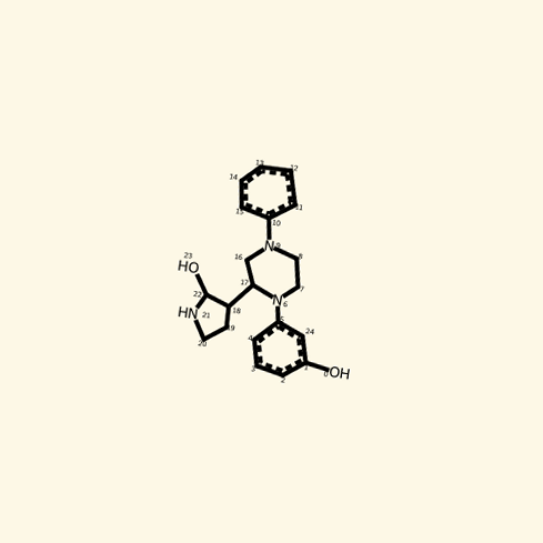 Oc1cccc(N2CCN(c3ccccc3)CC2C2CCNC2O)c1